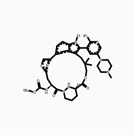 CCn1c(-c2cc(N3CCN(C)CC3)cnc2C(C)C)c2c3cc(ccc31)-c1csc(n1)C[C@H](NC(=O)OC(C)(C)C)C(=O)N1CCC[C@H](N1)C(=O)OCC(C)(C)C2